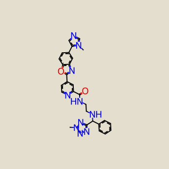 Cn1nnc(C(NCCNC(=O)c2cc(-c3nc4cc(-c5cncn5C)ccc4o3)ccn2)c2ccccc2)n1